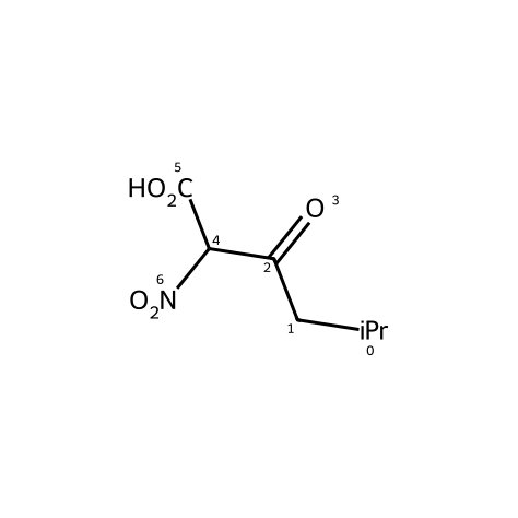 CC(C)CC(=O)C(C(=O)O)[N+](=O)[O-]